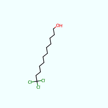 OCCCCCCCCCCCC(Cl)(Cl)Cl